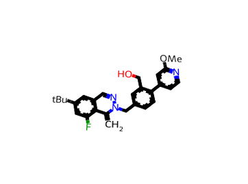 C=C1c2c(F)cc(C(C)(C)C)cc2C=NN1Cc1ccc(-c2ccnc(OC)c2)c(CO)c1